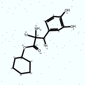 [2H]C(c1ccc(O)c(O)c1)C([2H])(N)C(=O)OC1CCCCC1